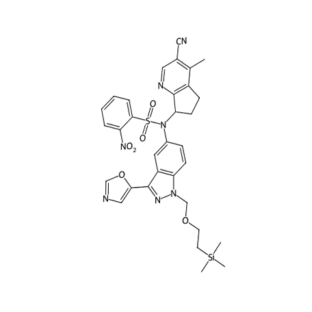 Cc1c(C#N)cnc2c1CCC2N(c1ccc2c(c1)c(-c1cnco1)nn2COCC[Si](C)(C)C)S(=O)(=O)c1ccccc1[N+](=O)[O-]